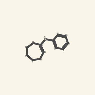 [c]1ccc(OC2=CCCCCC2)cc1